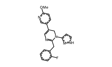 COc1ccc(C2=CN=C(Cc3ccccc3F)N(c3cc[nH]n3)C2)cn1